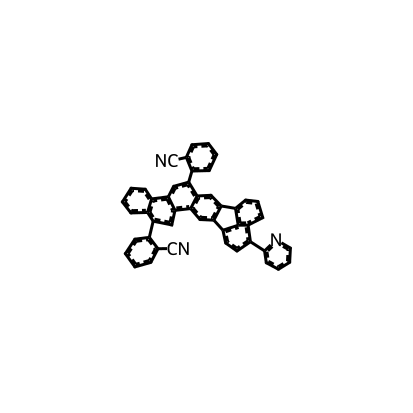 N#Cc1ccccc1-c1cc2c3cc4c(cc3c(-c3ccccc3C#N)cc2c2ccccc12)-c1cccc2c(-c3ccccn3)ccc-4c12